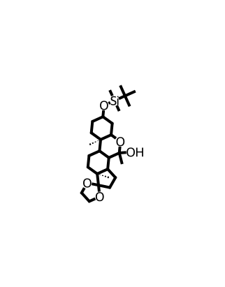 CC1(O)OC2CC(O[Si](C)(C)C(C)(C)C)CC[C@]2(C)C2CC[C@@]3(C)C(CCC34OCCO4)C21